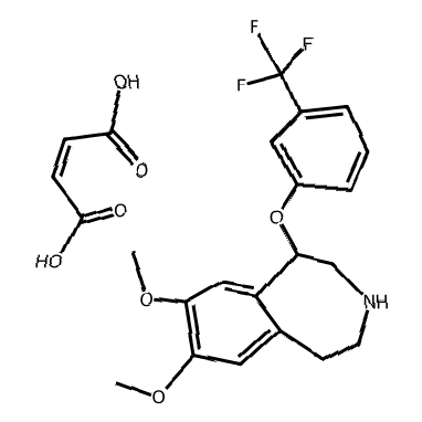 COc1cc2c(cc1OC)C(Oc1cccc(C(F)(F)F)c1)CNCC2.O=C(O)/C=C\C(=O)O